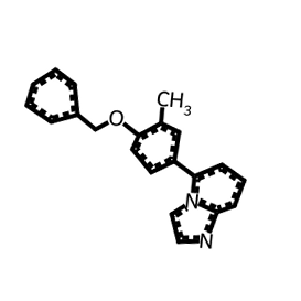 Cc1cc(-c2cccc3nccn23)ccc1OCc1ccccc1